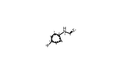 Fc1ccc(NC=S)cc1